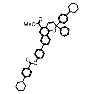 COC(=O)c1cc2cc(-c3ccc(OC(=O)c4ccc(C5CCCCC5)cc4)cc3)ccc2c2c1C=CC(c1ccccc1)(c1ccc(C3CCCCC3)cc1)O2